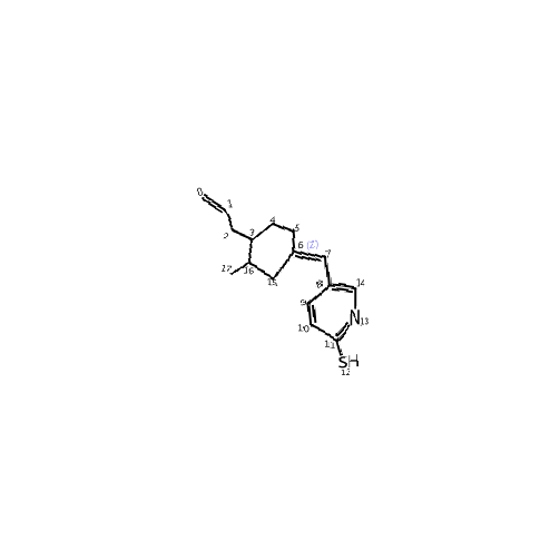 C=CCC1CC/C(=C/c2ccc(S)nc2)CC1C